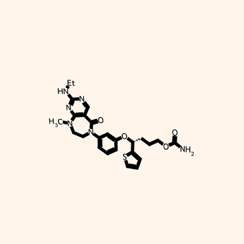 CCNc1ncc2c(n1)N(C)CCN(c1cccc(O[C@H](CCCOC(N)=O)c3cccs3)c1)C2=O